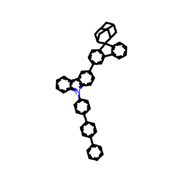 c1ccc(-c2ccc(-c3ccc(-n4c5ccccc5c5cc(-c6ccc7c(c6)-c6ccccc6C76C7CC8CC(C7)CC6C8)ccc54)cc3)cc2)cc1